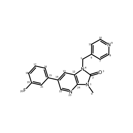 Cn1c(=O)n(Cc2ccncc2)c2cc(-c3cccc(F)c3)cnc21